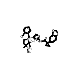 CC(C)(C)[SiH2]C1(C)CCN([C@H](c2cnc(NC(=O)C3(c4ccc5c(c4)OCO5)CC3)s2)c2ccccc2Cl)C1(C)O